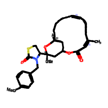 COc1ccc(CN2C(=O)SCC2[C@@]2(OC)CC3C[C@@H](CCC/C=C\CC/C(C)=C\C(=O)O3)O2)cc1